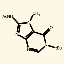 CC(=O)Nc1nc2ncn(C(C)(C)C)c(=O)c2n1C